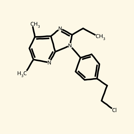 CCc1nc2c(C)cc(C)nc2n1-c1ccc(CCCl)cc1